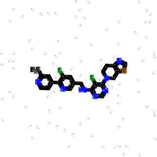 Cc1cc(-c2ncc(CNc3ncnc(N4CCc5ncsc5C4)c3F)cc2F)ccn1